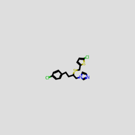 Clc1ccc(CCC(Cn2ccnc2)SCc2ccc(Cl)s2)cc1